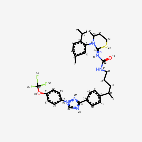 Cc1ccc(C(C)C)c(N2/C(=N/C(=O)NCCCC(C)c3ccc(-c4ncn(-c5ccc(OC(F)(F)F)cc5)n4)cc3)SCCC2C)c1